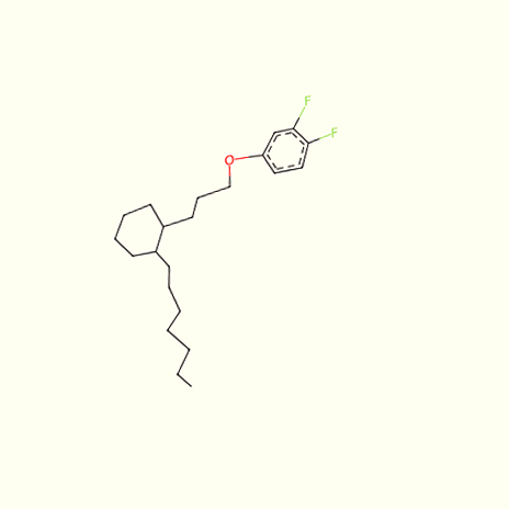 CCCCCCCC1CCCCC1CCCOc1ccc(F)c(F)c1